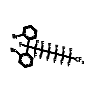 FC(F)(F)C(F)(F)C(F)(F)C(F)(F)C(F)(F)C(F)(F)C(F)(F)C(F)(c1ccccc1Br)c1ccccc1Br